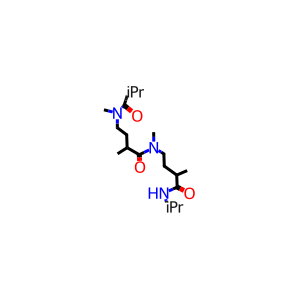 CC(C)NC(=O)C(C)CCN(C)C(=O)C(C)CCN(C)C(=O)C(C)C